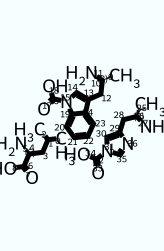 CC(C)C[C@H](N)C(=O)O.C[C@@H](N)Cc1cn(C(=O)O)c2ccccc12.C[C@@H](N)Cc1cn(C(=O)O)cn1